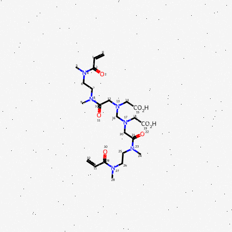 C=CC(=O)N(C)CCN(C)C(=O)CN(CC(=O)O)CN(CC(=O)O)CC(=O)N(C)CCN(C)C(=O)C=C